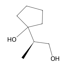 C[C@H](CO)C1(O)CCCC1